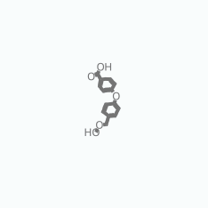 O=C(O)c1ccc(Oc2ccc(COO)cc2)cc1